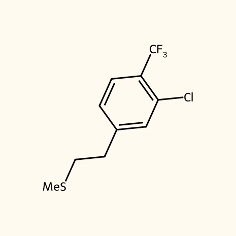 CSCCc1ccc(C(F)(F)F)c(Cl)c1